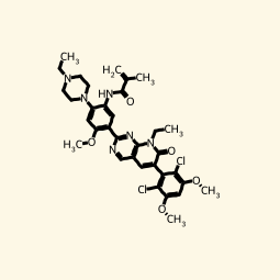 C=C(C)C(=O)Nc1cc(-c2ncc3cc(-c4c(Cl)c(OC)cc(OC)c4Cl)c(=O)n(CC)c3n2)c(OC)cc1N1CCN(CC)CC1